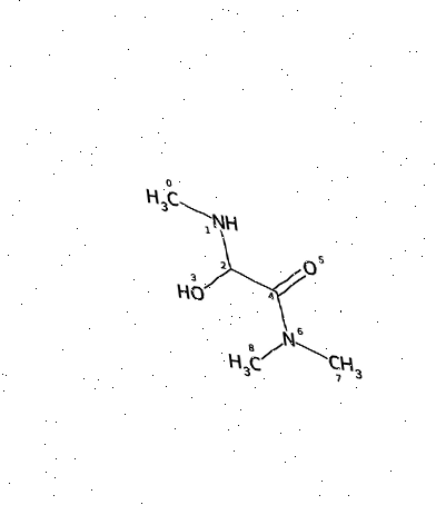 CNC(O)C(=O)N(C)C